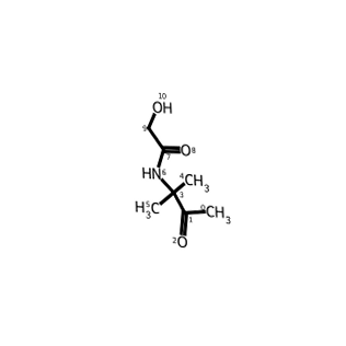 CC(=O)C(C)(C)NC(=O)CO